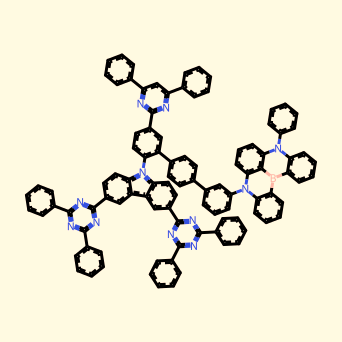 c1ccc(-c2cc(-c3ccccc3)nc(-c3ccc(-n4c5ccc(-c6nc(-c7ccccc7)nc(-c7ccccc7)n6)cc5c5cc(-c6nc(-c7ccccc7)nc(-c7ccccc7)n6)ccc54)c(-c4ccc(-c5cccc(N6c7ccccc7B7c8ccccc8N(c8ccccc8)c8cccc6c87)c5)cc4)c3)n2)cc1